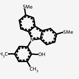 CSc1ccc2c(c1)c1cc(SC)ccc1n2-c1cc(C)cc(C)c1O